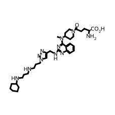 CN(c1nc(NCc2cn(CCCNCCCNC3CCCCC3)nn2)nc2ccccc12)C1CCN(C(=O)CC[C@H](N)C(=O)O)CC1